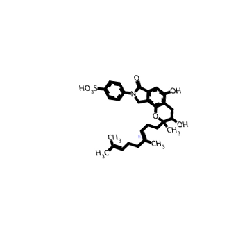 CC(C)=CCC/C(C)=C/CCC1(C)Oc2c(c(O)cc3c2CN(c2ccc(S(=O)(=O)O)cc2)C3=O)CC1O